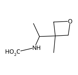 CC(NC(=O)O)C1(C)COC1